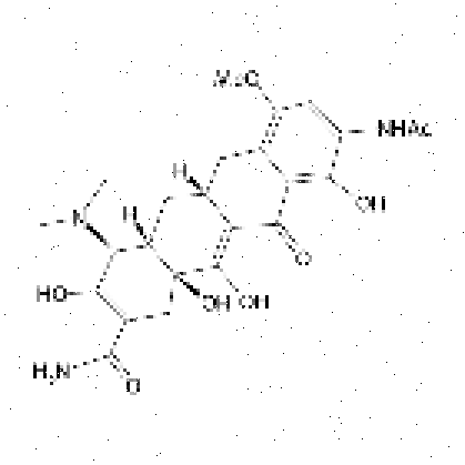 COc1cc(NC(C)=O)c(O)c2c1C[C@H]1C[C@H]3[C@H](N(C)C)C(O)=C(C(N)=O)C[C@@]3(O)C(O)=C1C2=O